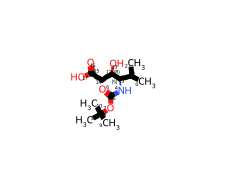 CC(C)[C@H](NC(=O)OC(C)(C)C)[C@H](O)CC(=O)O